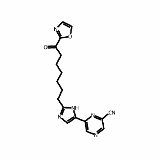 N#Cc1cncc(-c2cnc(CCCCCCC(=O)c3ncco3)[nH]2)n1